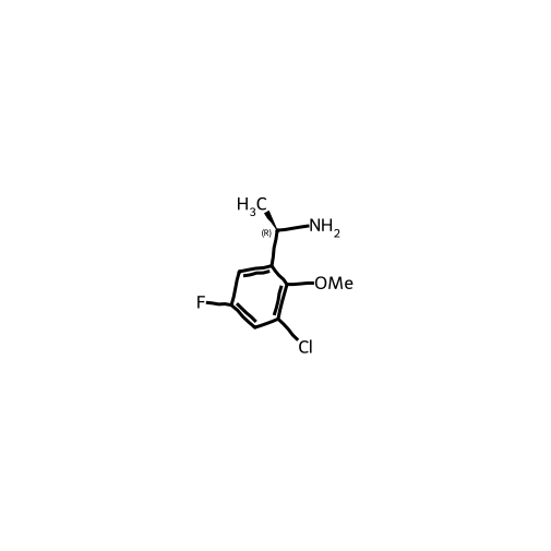 COc1c(Cl)cc(F)cc1[C@@H](C)N